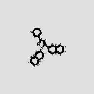 c1ccc(-c2cc(-c3ccc4ccccc4c3)n(-c3ccc4ccccc4c3)n2)cc1